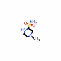 CN1CCNC(S(N)(=O)=O)C1